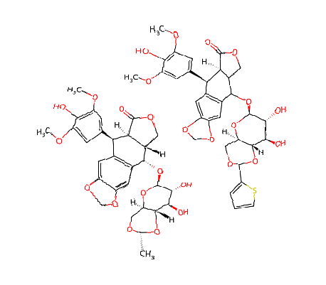 COc1cc([C@@H]2c3cc4c(cc3C(O[C@@H]3O[C@@H]5COC(c6cccs6)O[C@H]5[C@H](O)[C@H]3O)C3COC(=O)[C@@H]32)OCO4)cc(OC)c1O.COc1cc([C@@H]2c3cc4c(cc3[C@@H](O[C@@H]3O[C@@H]5CO[C@@H](C)O[C@H]5[C@H](O)[C@H]3O)[C@H]3COC(=O)[C@H]23)OCO4)cc(OC)c1O